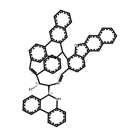 CC[C@@H]1/C(c2ccccc2)=C/c2ccc3c(c2)CC(c2cc4ccccc4cc2-3)c2c(ccc3c2oc2cc4ccccc4cc23)/C=N/C1[C@H]1Nc2ccccc2-c2ccccc21